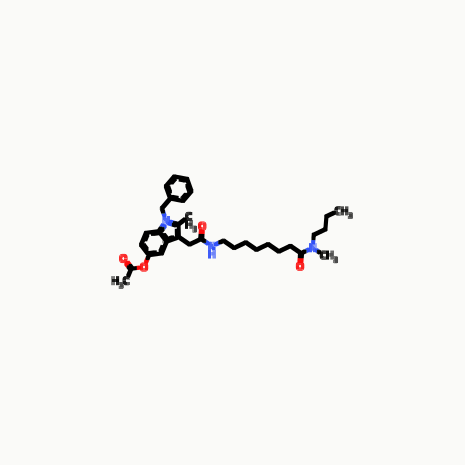 CCCCN(C)C(=O)CCCCCCCNC(=O)Cc1c(C)n(Cc2ccccc2)c2ccc(OC(C)=O)cc12